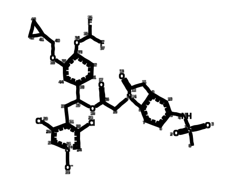 CS(=O)(=O)Nc1ccc2c(c1)CC(=O)N2CC(=O)OC(Cc1c(Cl)c[n+]([O-])cc1Cl)c1ccc(OC(F)F)c(OCC2CC2)c1